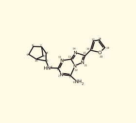 Nc1nc(NC2CC3CCC2C3)nc2nc(-c3ccco3)nn12